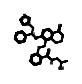 CC(O)CNC(=O)c1ccccc1SCc1c(O[C@H](Cn2ccnc2)c2ccccc2)ccc2c1CCCC2=O